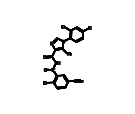 COc1ccc(Cl)c([S+]([O-])NC(=O)c2ncn(-c3ccc(Cl)cc3Cl)c2C(C)C)c1